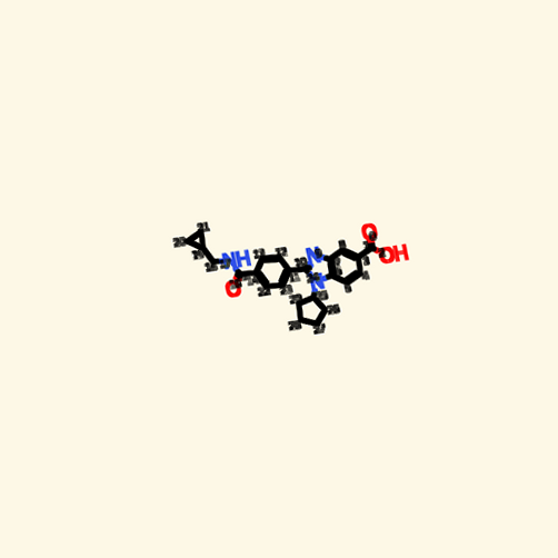 O=C(O)c1ccc2c(c1)nc(-c1ccc(C(=O)NCC3CC3)cc1)n2C1CCCC1